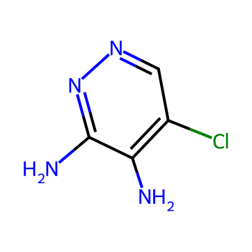 Nc1nncc(Cl)c1N